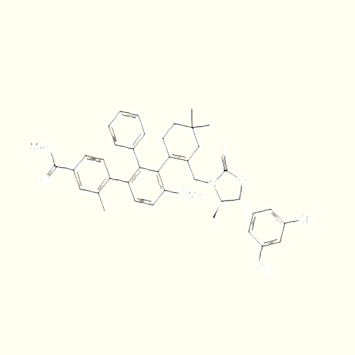 COC(=O)c1ccc(-c2ccc(OC)c(C3=C(CN4C(=O)O[C@H](c5cc(C(F)(F)F)cc(C(F)(F)F)c5)[C@H]4C)CC(C)(C)CC3)c2-c2ccccc2)c(C)c1